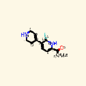 CNC(=O)C1=CC=C(C2=CCNCC2)C(F)N1